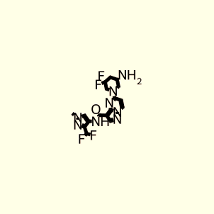 Cn1cc(NC(=O)c2cnn3ccc(N4C[C@H](N)CC(F)(F)C4)nc23)c(C(F)F)n1